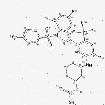 Cc1ccc(S(=O)(=O)n2cc(-c3nc(NC4CCCC(OC(N)=O)C4)c(F)cc3C(F)(F)F)c3cc(F)cc(F)c32)cc1